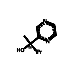 CC(C)[C@](C)(O)c1cnccn1